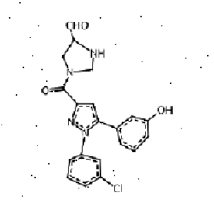 O=CC1CN(C(=O)c2cc(-c3cccc(O)c3)n(-c3cccc(Cl)c3)n2)CN1